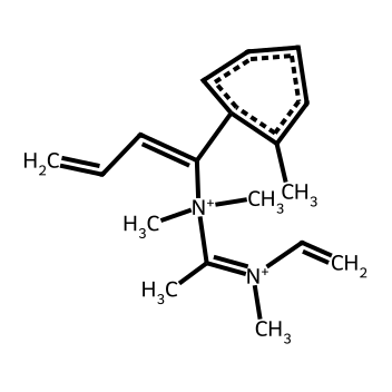 C=C/C=C(/c1ccccc1C)[N+](C)(C)C(C)=[N+](C)C=C